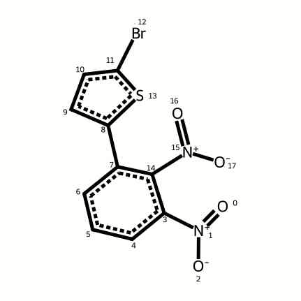 O=[N+]([O-])c1cccc(-c2ccc(Br)s2)c1[N+](=O)[O-]